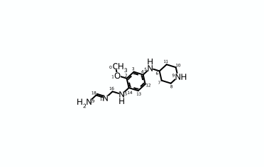 COc1cc(NC2CCNCC2)ccc1NC/N=C/N